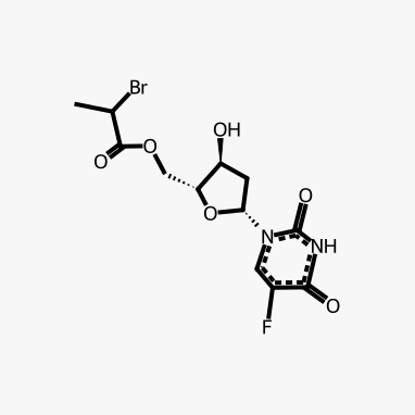 CC(Br)C(=O)OC[C@H]1O[C@@H](n2cc(F)c(=O)[nH]c2=O)C[C@@H]1O